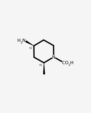 C[C@H]1C[C@@H](N)CCN1C(=O)O